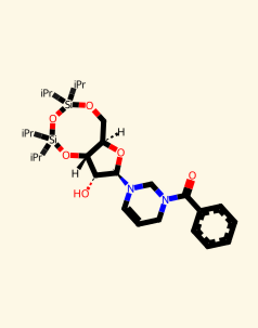 CC(C)[Si]1(C(C)C)OC[C@H]2O[C@@H](N3C=CCN(C(=O)c4ccccc4)C3)[C@H](O)[C@@H]2O[Si](C(C)C)(C(C)C)O1